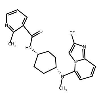 Cc1ncccc1C(=O)N[C@H]1CC[C@@H](N(C)c2cccc3nc(C(F)(F)F)cn23)CC1